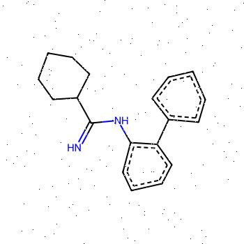 N=C(Nc1ccccc1-c1ccccc1)C1CCCCC1